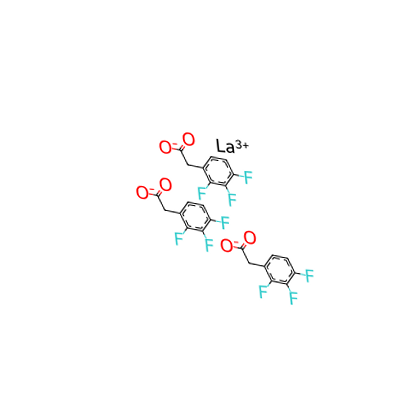 O=C([O-])Cc1ccc(F)c(F)c1F.O=C([O-])Cc1ccc(F)c(F)c1F.O=C([O-])Cc1ccc(F)c(F)c1F.[La+3]